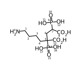 NCCCCC(CC(C(=O)O)P(=O)(O)O)(C(=O)O)P(=O)(O)O